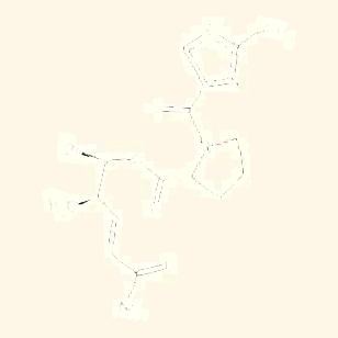 Cc1nc(C(=O)N2CCC[C@@H]2C(=O)O[C@H](C(C)C)[C@H](C)/C=C/C(N)=O)co1